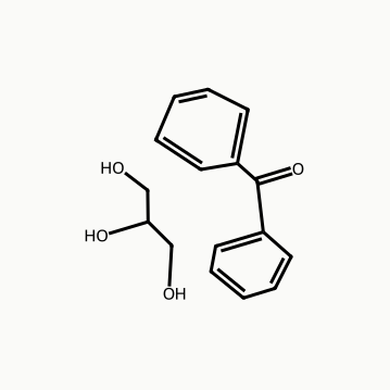 O=C(c1ccccc1)c1ccccc1.OCC(O)CO